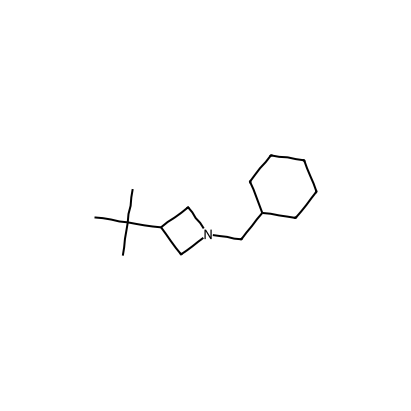 CC(C)(C)C1CN(CC2CCCCC2)C1